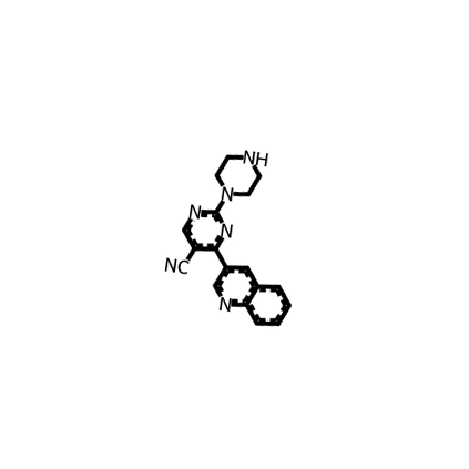 N#Cc1cnc(N2CCNCC2)nc1-c1cnc2ccccc2c1